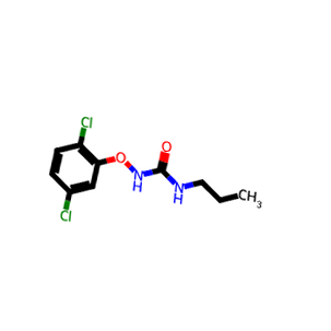 CCCNC(=O)NOc1cc(Cl)ccc1Cl